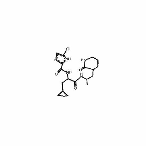 CC(CC1CCCNC1=O)NC(=O)C(CC1CC1)NC(=O)c1ncc(Cl)[nH]1